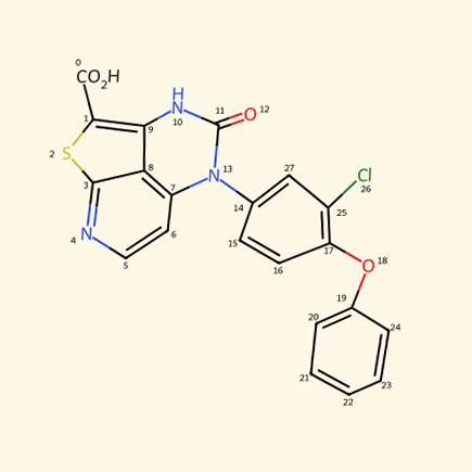 O=C(O)c1sc2nccc3c2c1NC(=O)N3c1ccc(Oc2ccccc2)c(Cl)c1